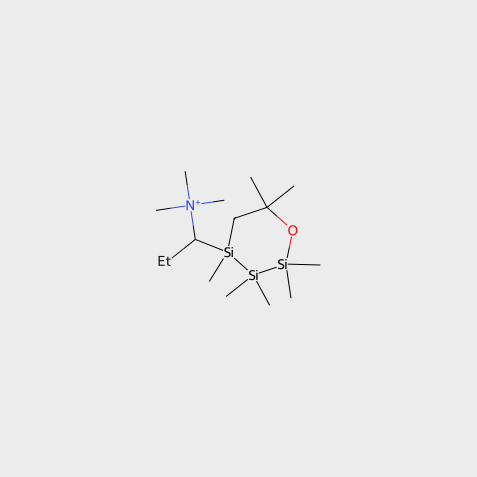 CCC([N+](C)(C)C)[Si]1(C)CC(C)(C)O[Si](C)(C)[Si]1(C)C